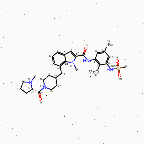 COc1c(NC(=O)c2cc3cccc(CC4CCN(C(=O)[C@@H]5CCCN5C)CC4)c3n2C)cc(C(C)(C)C)cc1NS(C)(=O)=O